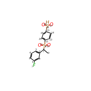 CC(c1cccc(F)c1)S(=O)(=O)c1ccc([SH](=O)=O)cc1